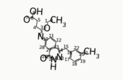 CCOC(CCC(=O)O)=Nc1ccc2c(Cc3cccc(C)c3)n[nH]c(=O)c2c1